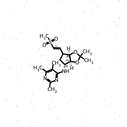 Cc1nc(C)c(C)c(N[C@@H]2CC(/C=C/S(C)(=O)=O)[C@H]3OC(C)(C)O[C@H]32)n1